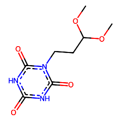 COC(CCn1c(=O)[nH]c(=O)[nH]c1=O)OC